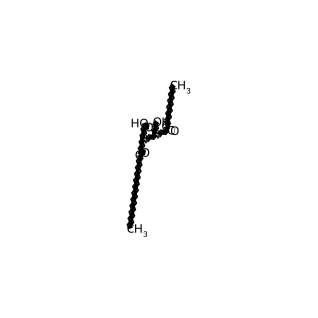 CCCCCCCCCCCCCCCCCCCCCCCOC(=O)CCCN(CCCC(=O)O)CCCN(CCCO)CCCC(=C=O)OCCCCCCCCCCCCC